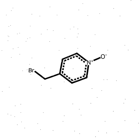 [O-][n+]1ccc(CBr)cc1